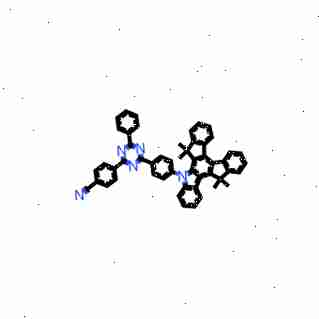 CC1(C)c2ccccc2-c2c3c(c4c(c21)c1ccccc1n4-c1ccc(-c2nc(-c4ccccc4)nc(-c4ccc(C#N)cc4)n2)cc1)C(C)(C)c1ccccc1-3